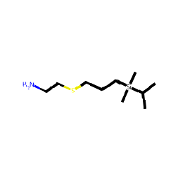 CC(C)[Si](C)(C)CCCSCCN